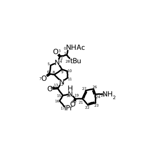 CC(=O)NC(C(=O)N1CC(=O)C2C1CCN2C(=O)C(CC(C)C)NC(=O)c1ccc(N)cc1)C(C)(C)C